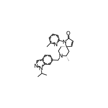 Cc1cccc(N2C(=O)C=C[C@]23CCN(Cc2ccc4cnn(C(C)C)c4c2)[C@@H](C)C3)n1